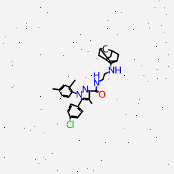 Cc1ccc(-n2nc(C(=O)NCCNC3C4CC5CC(C4)CC3C5)c(C)c2-c2ccc(Cl)cc2)c(C)c1